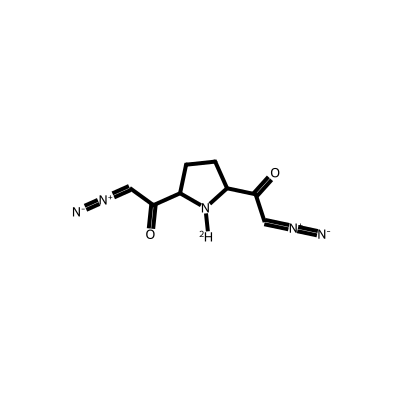 [2H]N1C(C(=O)C=[N+]=[N-])CCC1C(=O)C=[N+]=[N-]